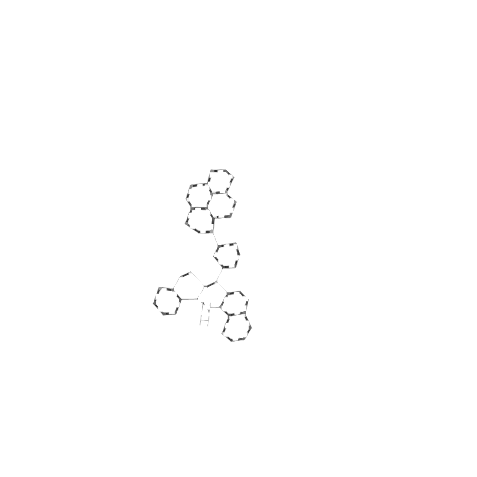 C1=Cc2ccccc2C2Nc3c(ccc4ccccc34)C(c3cccc(-c4ccc5ccc6cccc7ccc4c5c67)c3)=C12